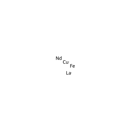 [Cu].[Fe].[La].[Nd]